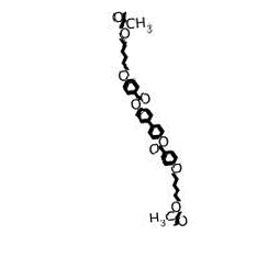 CC1(COCCCCCCOc2ccc(C(=O)Oc3ccc(-c4ccc(OC(=O)c5ccc(OCCCCCCOCC6(C)CO6)cc5)cc4)cc3)cc2)CO1